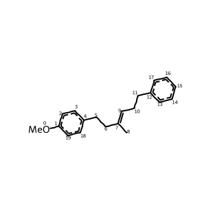 COc1ccc(CCC(C)=CCCc2ccccc2)cc1